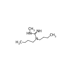 CCCCN(CCCC)C(=N)NC